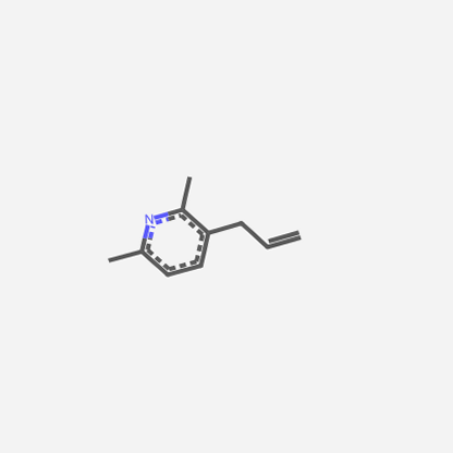 C=CCc1ccc(C)nc1C